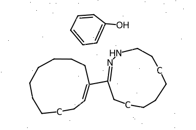 C1=C(C2=NNCCCCCCCC2)CCCCCCCCC1.Oc1ccccc1